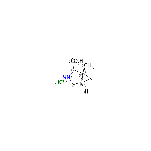 C[C@@]12C[C@H]1CNC2C(=O)O.Cl